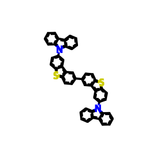 c1ccc2c(c1)c1ccccc1n2-c1ccc2sc3ccc(-c4ccc5sc6ccc(-n7c8ccccc8c8ccccc87)cc6c5c4)cc3c2c1